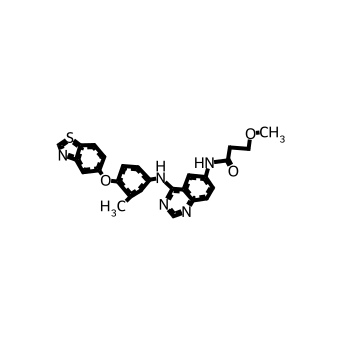 COCCC(=O)Nc1ccc2ncnc(Nc3ccc(Oc4ccc5scnc5c4)c(C)c3)c2c1